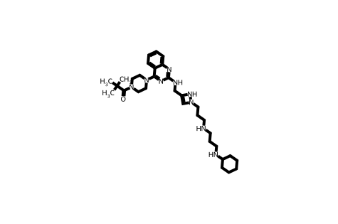 CC(C)(C)C(=O)N1CCN(c2nc(NCc3cn(CCCNCCCNC4CCCCC4)[nH]3)nc3ccccc23)CC1